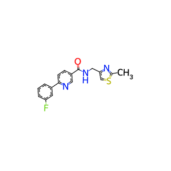 Cc1nc(CNC(=O)c2ccc(-c3cccc(F)c3)nc2)cs1